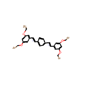 BrCOc1cc(/C=C/c2ccc(/C=C/c3cc(OCBr)cc(OCBr)c3)cc2)cc(OCBr)c1